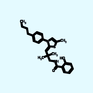 CCCCc1ccc(N2C=C(C)SC2=CC(C)(C)CNC(=O)c2ccccc2O)cc1